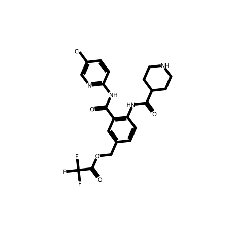 O=C(Nc1ccc(Cl)cn1)c1cc(COC(=O)C(F)(F)F)ccc1NC(=O)C1CCNCC1